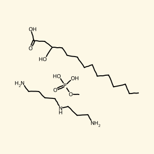 CCCCCCCCCCCC(O)CC(=O)O.COP(=O)(O)O.NCCCCNCCCN